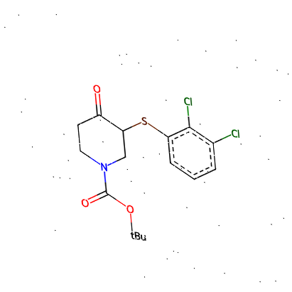 CC(C)(C)OC(=O)N1CCC(=O)C(Sc2cccc(Cl)c2Cl)C1